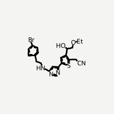 CCOCC(O)c1cc(-c2cc(NCCc3ccc(Br)cc3)ncn2)sc1CC#N